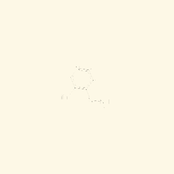 CC(C)c1cnccc1NN